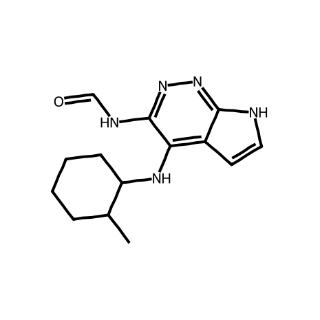 CC1CCCCC1Nc1c(NC=O)nnc2[nH]ccc12